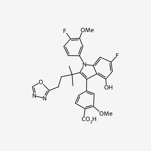 COc1cc(-n2c(C(C)(C)CCc3nnco3)c(-c3ccc(C(=O)O)c(OC)c3)c3c(O)cc(F)cc32)ccc1F